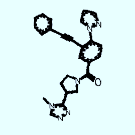 Cn1cnnc1C1CCN(C(=O)c2ccc(-n3cccn3)c(C#Cc3ccccc3)c2)C1